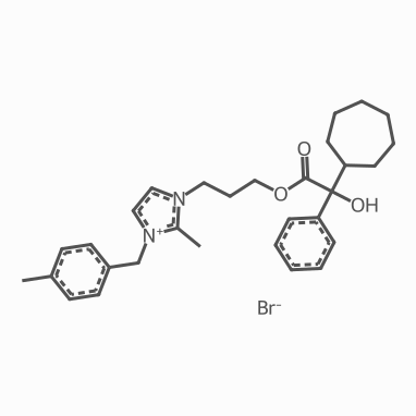 Cc1ccc(C[n+]2ccn(CCCOC(=O)C(O)(c3ccccc3)C3CCCCCC3)c2C)cc1.[Br-]